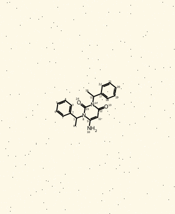 CC(c1ccccc1)n1c(N)cc(=O)n(C(C)c2ccccc2)c1=O